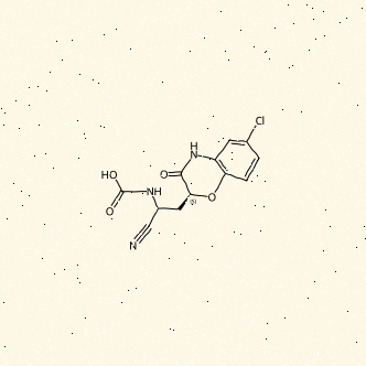 N#CC(C[C@@H]1Oc2ccc(Cl)cc2NC1=O)NC(=O)O